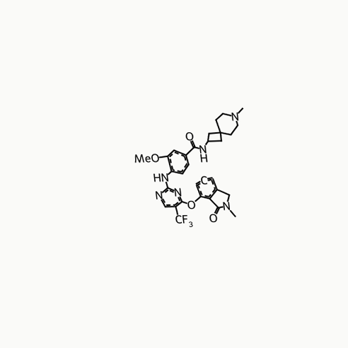 COc1cc(C(=O)NC2CC3(CCN(C)CC3)C2)ccc1Nc1ncc(C(F)(F)F)c(Oc2cccc3c2C(=O)N(C)C3)n1